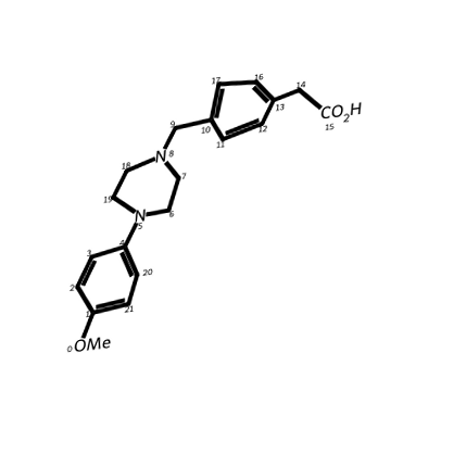 COc1ccc(N2CCN(Cc3ccc(CC(=O)O)cc3)CC2)cc1